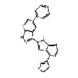 c1cc(-c2cnc3[nH]nc(-c4cc5c(-c6ccsc6)ccnc5[nH]4)c3c2)ccn1